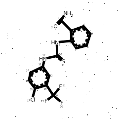 NC(=O)c1ccccc1NC(=S)Nc1ccc(Cl)c(C(F)(F)F)c1